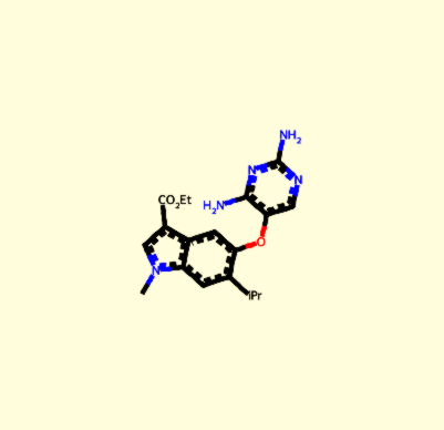 CCOC(=O)c1cn(C)c2cc(C(C)C)c(Oc3cnc(N)nc3N)cc12